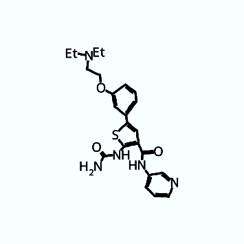 CCN(CC)CCOc1cccc(-c2cc(C(=O)Nc3cccnc3)c(NC(N)=O)s2)c1